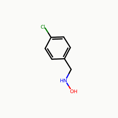 ONCc1ccc(Cl)cc1